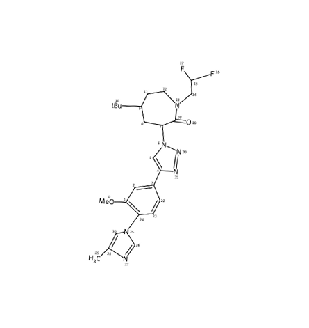 COc1cc(-c2cn(C3CC(C(C)(C)C)CCN(CC(F)F)C3=O)nn2)ccc1-n1cnc(C)c1